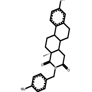 CC(C)(C)c1ccc(CN2C(=O)CC3C4CCc5cc(O)ccc5C4CC[C@]3(C)C2=O)cc1